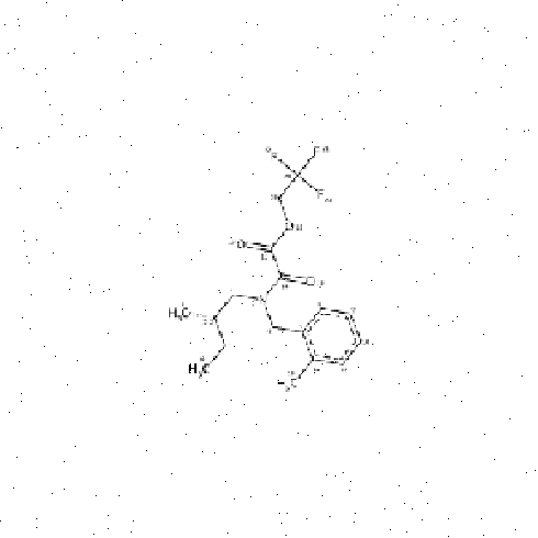 CC[C@H](C)CN(Cc1ccccc1C)C(=O)C(=O)OCC(F)(F)F